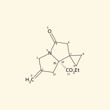 C=C1CN2C(=O)CC3(CC3)[C@@]2(C(=O)OCC)C1